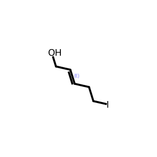 OC/C=C/CCI